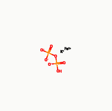 O=P([O-])([O-])OP(=O)([O-])O.[Fe+2].[K+]